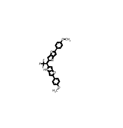 COc1ccc(-c2cc3c(o2)=C/C(=C(/c2cc4oc(-c5ccc(OC)cc5)cc4[nH]2)C(F)(F)F)N=3)cc1